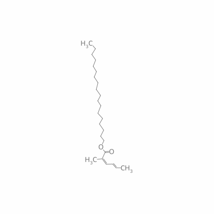 CC=CC=C(C)C(=O)OCCCCCCCCCCCCCCCCCC